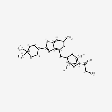 Cc1nc(CN2C[C@@H]3C[C@H]2CN3C(=O)CO)c2cc(C3CCC(C)(C)CC3)sc2n1